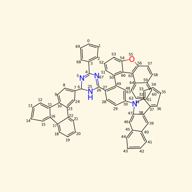 c1ccc(C2=NC(c3ccc4c5ccccc5c5ccccc5c4c3)NC(c3ccc(-n4c5ccccc5c5cc6ccccc6cc54)cc3-c3cccc4oc5ccc6ccccc6c5c34)=N2)cc1